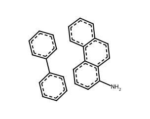 Nc1cccc2c1ccc1ccccc12.c1ccc(-c2ccccc2)cc1